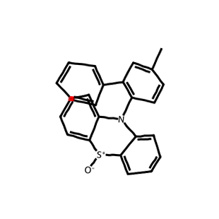 Cc1ccc(N2c3ccccc3[S+]([O-])c3ccccc32)c(-c2ccccc2)c1